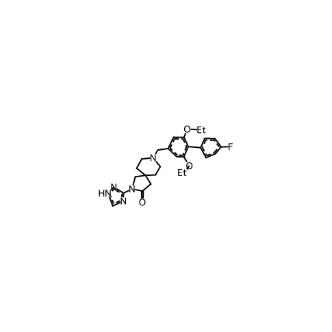 CCOc1cc(CN2CCC3(CC2)CC(=O)N(c2nc[nH]n2)C3)cc(OCC)c1-c1ccc(F)cc1